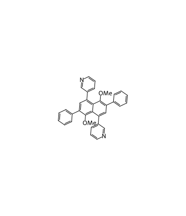 COc1c(-c2ccccc2)cc(-c2cccnc2)c2c(OC)c(-c3ccccc3)cc(-c3cccnc3)c12